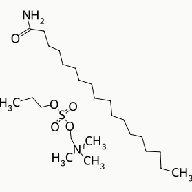 CCCCCCCCCCCCCCCCCC(N)=O.CCCOS(=O)(=O)OC[N+](C)(C)C